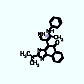 C/C(Nc1cc#ccc1)=C(/C=N)C1=C2N=C(N(C)C)N=C2c2ccccc2C1=O